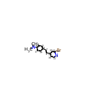 CN(C)c1ccc(C=Cc2ccnc(Br)c2)cc1